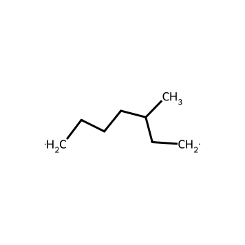 [CH2]CCCC(C)C[CH2]